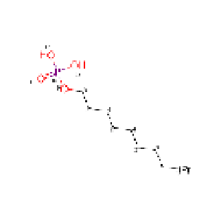 CC(C)CCCCCCCCOP(=O)(O)O